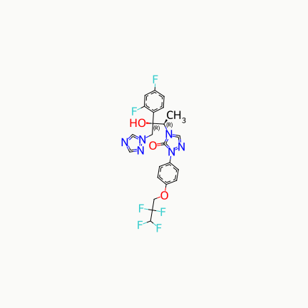 C[C@@H](n1cnn(-c2ccc(OCC(F)(F)C(F)F)cc2)c1=O)[C@](O)(Cn1cncn1)c1ccc(F)cc1F